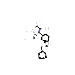 C=NN(C)/C(=C(/C)C(C)C)c1ccc2ncn(Cc3ccccc3)c2c1